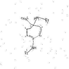 CCNC1=CCC(C=O)(NCC)C=C1